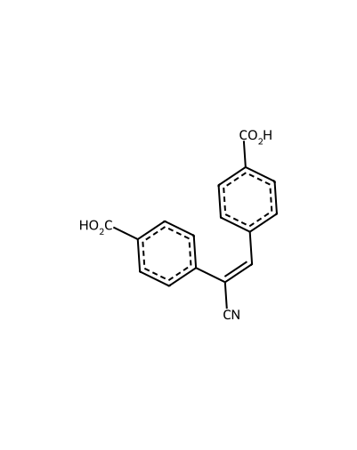 N#CC(=Cc1ccc(C(=O)O)cc1)c1ccc(C(=O)O)cc1